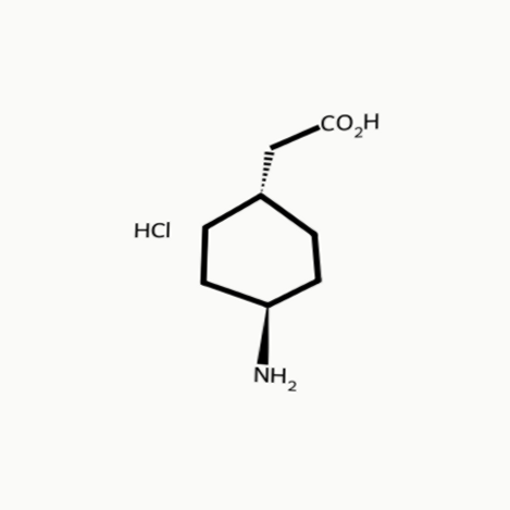 Cl.N[C@H]1CC[C@H](CC(=O)O)CC1